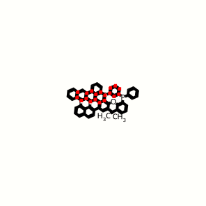 CC1(C)c2cccc(P(c3ccccc3)c3ccccc3)c2Oc2c(P(c3ccccc3)c3ccccc3)cc(-c3ccc4cccc(P(c5ccccc5)c5ccccc5)c4c3P(c3ccccc3)c3ccccc3)cc21